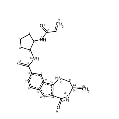 C=CC(=O)NC1CCCC1NC(=O)c1ccc2sc3c(c2c1)NC[C@@H](C)NC3=O